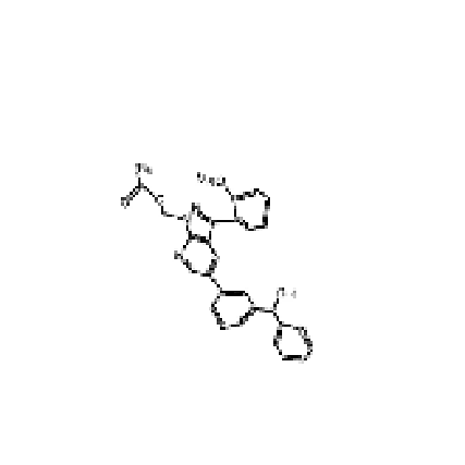 COc1ccccc1-c1nn(COC(=O)C(C)(C)C)c2ncc(-c3cccc(C(O)c4ccccn4)c3)cc12